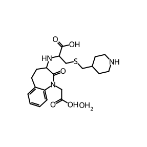 O.O=C(O)CN1C(=O)C(NC(CSCC2CCNCC2)C(=O)O)CCc2ccccc21